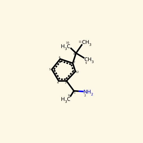 CC(N)c1cccc(C(C)(C)C)c1